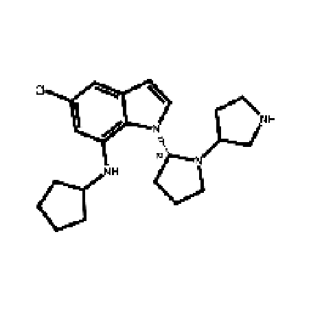 Clc1cc(NC2CCCC2)c2c(ccn2[C@H]2CCCN2C2CCNC2)c1